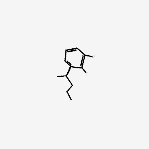 CCCC(C)c1cccc(F)c1F